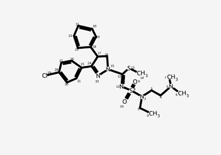 CCN(CCN(C)C)S(=O)(=O)N=C(SC)N1CC(c2ccccc2)C(c2ccc(Cl)cc2)=N1